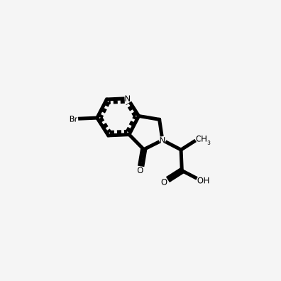 CC(C(=O)O)N1Cc2ncc(Br)cc2C1=O